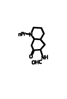 CCCN1CCCC2CC(NC=O)C(=O)CC21